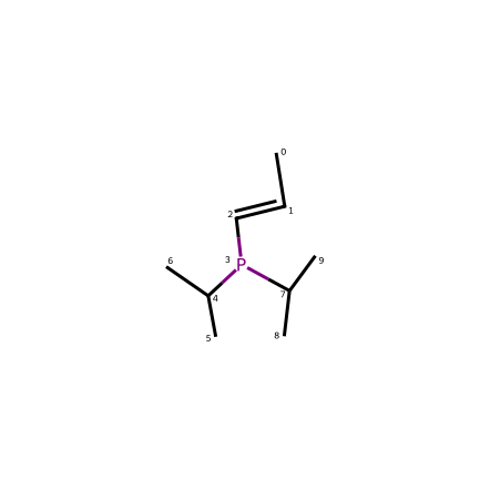 CC=CP(C(C)C)C(C)C